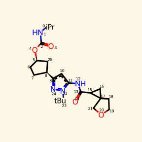 CC(C)NC(=O)O[C@@H]1CC[C@H](c2cc(NC(=O)C3CC34CCOC4)n(C(C)(C)C)n2)C1